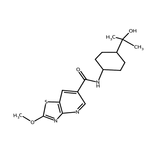 COc1nc2ncc(C(=O)NC3CCC(C(C)(C)O)CC3)cc2s1